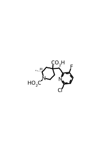 C[C@@H]1CC(Cc2nc(Cl)ccc2F)(C(=O)O)CCN1C(=O)O